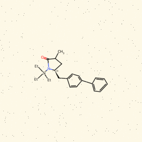 CC[Si](CC)(CC)N1C(=O)C(C)C[C@H]1Cc1ccc(-c2ccccc2)cc1